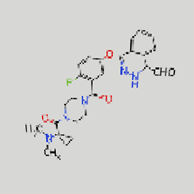 CN(C)C1(C(=O)N2CCN(C(=O)c3cc(OC4=NNC(C=O)c5ccccc54)ccc3F)CC2)CC1